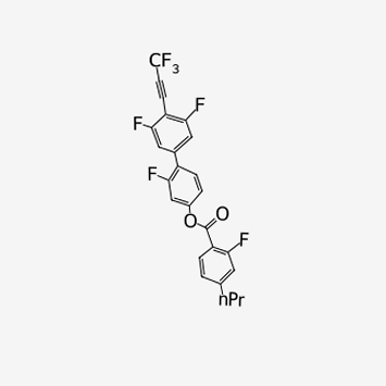 CCCc1ccc(C(=O)Oc2ccc(-c3cc(F)c(C#CC(F)(F)F)c(F)c3)c(F)c2)c(F)c1